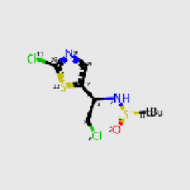 CC(C)(C)[S+]([O-])NC(CCl)c1cnc(Cl)s1